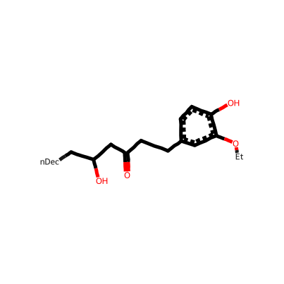 CCCCCCCCCCCC(O)CC(=O)CCc1ccc(O)c(OCC)c1